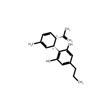 C=C(C)[C@H]1C=CC(C)=C[C@H]1c1c(O)cc(CCC)cc1O